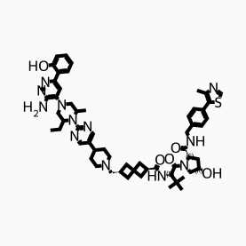 CCC1CN(c2cc(-c3ccccc3O)nnc2N)CC(C)N1c1ncc(C2CCN(C[C@H]3CC4(C3)C[C@H](C(=O)N[C@H](C(=O)N3C[C@H](O)C[C@H]3C(=O)NCc3ccc(-c5scnc5C)cc3)C(C)(C)C)C4)CC2)cn1